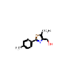 CCOC(=O)c1sc(-c2ccc(C(F)(F)F)cc2)nc1CO